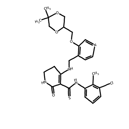 Cc1c(Cl)cccc1NC(=S)C1=C(NCc2ccncc2OCC2COC(C)(C)CO2)CCNC1=O